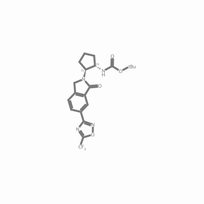 CC(C)(C)OC(=O)N[C@H]1CCC[C@@H]1N1Cc2ccc(-c3noc(C(F)(F)F)n3)cc2C1=O